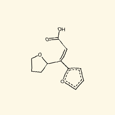 O=C(O)C=C(c1ccco1)C1CCCO1